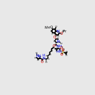 COc1ccc2c(O[C@@H]3C[C@@H](C(=O)N[C@]4(C(=O)NS(=O)(=O)C5CC5)C[C@H]4/C=C\CCCCC[C@@H](C)NC(=O)c4ccn(C)n4)N(C)C3)cc(OC(C)C)nc2c1C